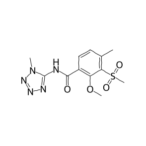 COc1c(C(=O)Nc2nnnn2C)ccc(C)c1S(C)(=O)=O